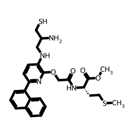 COC(=O)[C@H](CCSC)NC(=O)COc1nc(-c2cccc3ccccc23)ccc1NCC(N)CS